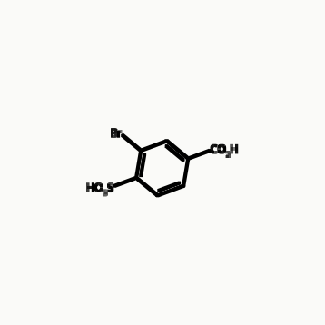 O=C(O)c1ccc(S(=O)(=O)O)c(Br)c1